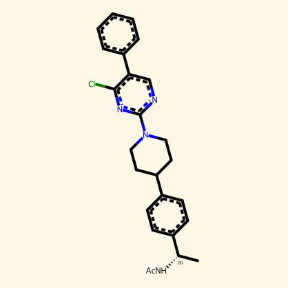 CC(=O)N[C@@H](C)c1ccc(C2CCN(c3ncc(-c4ccccc4)c(Cl)n3)CC2)cc1